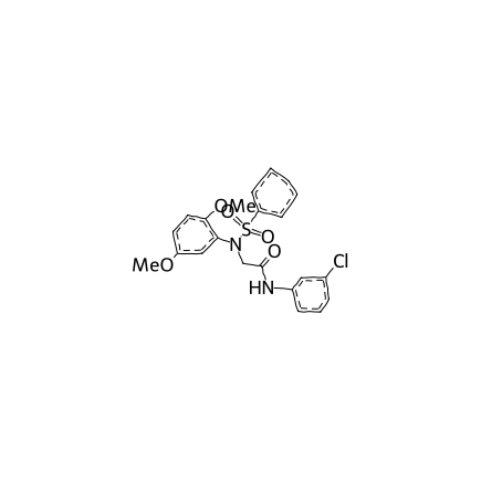 COc1ccc(OC)c(N(CC(=O)Nc2cccc(Cl)c2)S(=O)(=O)c2ccccc2)c1